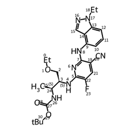 CCOC[C@@H](Nc1nc(Nc2cccc3c2cnn3CC)c(C#N)cc1F)[C@H](C)NC(=O)OC(C)(C)C